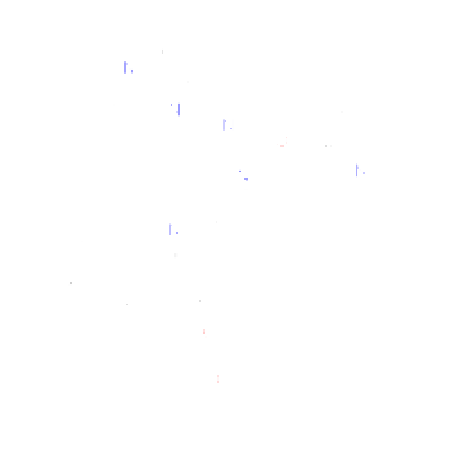 COCOc1cc(N2CCC3C(N4CCNCC4)=NC(OC[C@@H]4CCCN4C)=NC3C2)c2ccccc2c1